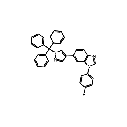 Fc1ccc(-n2cnc3ccc(-c4cnn(C(c5ccccc5)(c5ccccc5)C5C=CC=CC5)c4)cc32)cc1